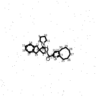 O=C(NCC1(C(=O)N2CCCC2)Cc2ccccc2C1)c1cc2c(s1)CCCCCC2